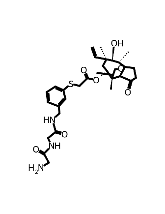 C=C[C@]1(C)C[C@@H](OC(=O)CSc2cccc(CNC(=O)CNC(=O)CN)c2)[C@]2(C)C(C)CCC3(CCC(=O)C32)[C@@H](C)[C@@H]1O